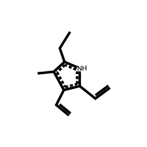 C=Cc1[nH]c(CC)c(C)c1C=C